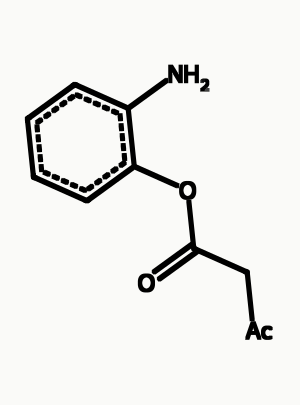 CC(=O)CC(=O)Oc1ccccc1N